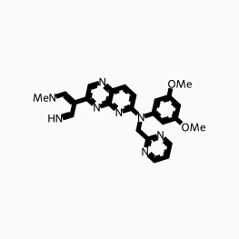 CN/C=C(\C=N)c1cnc2ccc(N(Cc3ncccn3)c3cc(OC)cc(OC)c3)nc2n1